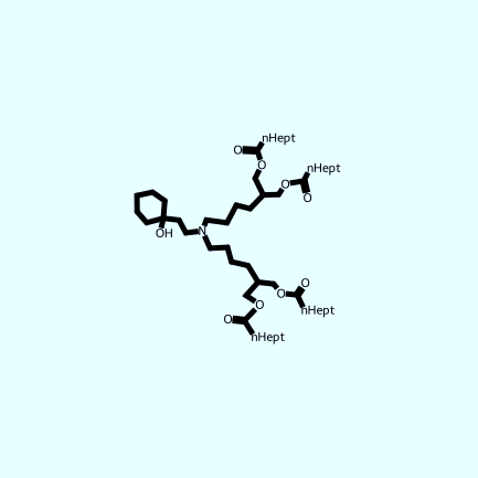 CCCCCCCC(=O)OCC(CCCCN(CCCCC(COC(=O)CCCCCCC)COC(=O)CCCCCCC)CCC1(O)CCCCC1)COC(=O)CCCCCCC